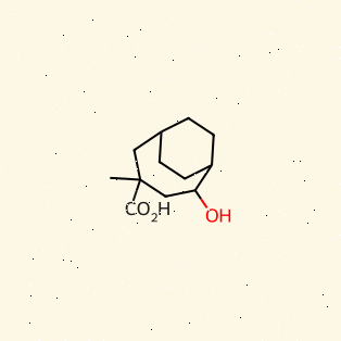 CC1(C(=O)O)CC2CCC(CC2)C(O)C1